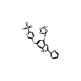 CCS(=O)(=O)c1ccc(Oc2cc(Cc3nn[nH]n3)c3nc(-c4ccccn4)[nH]c3c2)cn1